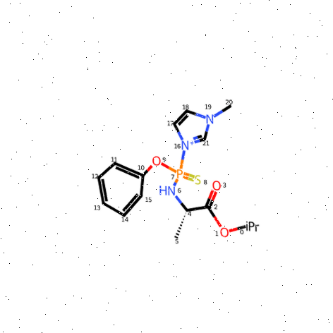 CC(C)OC(=O)[C@H](C)NP(=S)(Oc1ccccc1)[n+]1ccn(C)c1